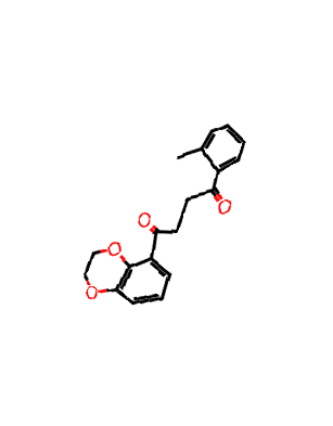 Cc1ccccc1C(=O)CCC(=O)c1cccc2c1OCCO2